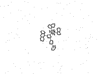 c1ccc(-c2ccc(-c3cc(-c4nc(-c5cccc6ccccc56)nc(-c5cccc6ccccc56)n4)cc(-c4c5ccccc5cc5ccccc45)c3)cc2)nc1